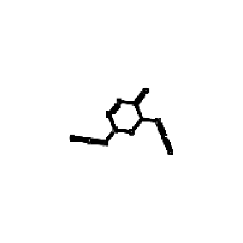 O=C=NC1ON(N=C=O)N=NC1=O